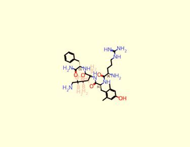 BC(B)(CN)C(B)(B)C[C@](B)(NC(=O)[C@H](Cc1c(C)cc(O)cc1C)NC(=O)[C@H](N)CCCNC(=N)N)C(=O)N[C@@H](Cc1ccccc1)C(N)=O